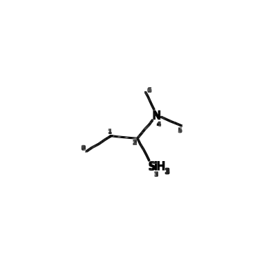 CCC([SiH3])N(C)C